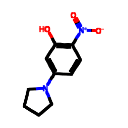 O=[N+]([O-])c1ccc(N2CCCC2)cc1O